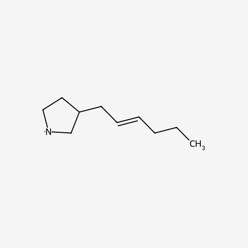 CCCC=CCC1CC[N]C1